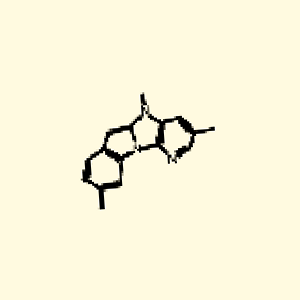 Cc1cnc2c(c1)N(C)C1Cc3ccc(C)cc3N21